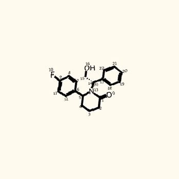 O=C1CCCC(c2ccc(F)cc2)N1[C@H](CO)c1ccccc1